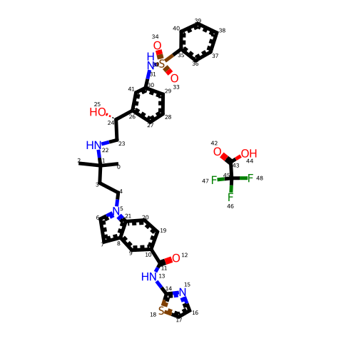 CC(C)(CCn1ccc2cc(C(=O)Nc3nccs3)ccc21)NC[C@H](O)c1cccc(NS(=O)(=O)c2ccccc2)c1.O=C(O)C(F)(F)F